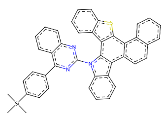 C[Si](C)(C)c1ccc(-c2nc(-n3c4ccccc4c4c5ccc6ccccc6c5c5sc6ccccc6c5c43)nc3ccccc23)cc1